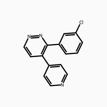 Clc1cccc(-c2nnccc2-c2ccncc2)c1